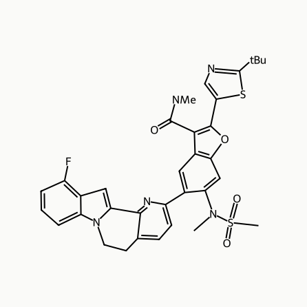 CNC(=O)c1c(-c2cnc(C(C)(C)C)s2)oc2cc(N(C)S(C)(=O)=O)c(-c3ccc4c(n3)-c3cc5c(F)cccc5n3CC4)cc12